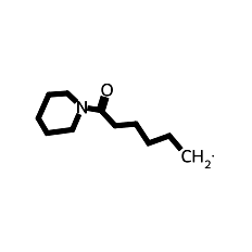 [CH2]CCCCC(=O)N1CCCCC1